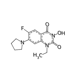 CCn1c(=O)n(O)c(=O)c2cc(F)c(N3CCCC3)cc21